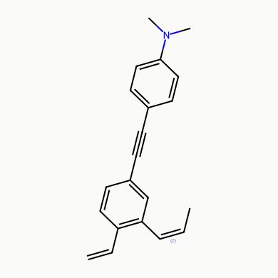 C=Cc1ccc(C#Cc2ccc(N(C)C)cc2)cc1/C=C\C